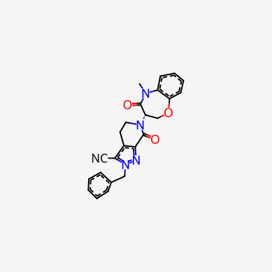 CN1C(=O)[C@@H](N2CCc3c(nn(Cc4ccccc4)c3C#N)C2=O)COc2ccccc21